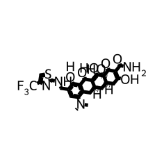 CN(C)c1cc(CNc2nc(C(F)(F)F)cs2)c(O)c2c1C[C@H]1C[C@H]3CC(O)=C(C(N)=O)C(=O)[C@@]3(O)C(O)=C1C2=O